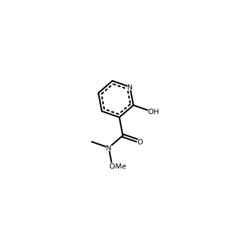 CON(C)C(=O)c1cccnc1O